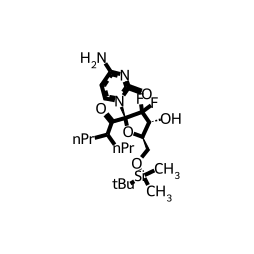 CCCC(CCC)C(=O)[C@@]1(n2ccc(N)nc2=O)O[C@H](CO[Si](C)(C)C(C)(C)C)[C@@H](O)C1(F)F